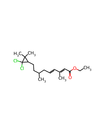 CCOC(=O)/C=C(C)/C=C/CC(C)CCC1C(C)(C)C1(Cl)Cl